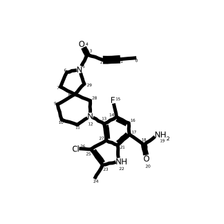 CC#CC(=O)N1CCC2(CCCN(c3c(F)cc(C(N)=O)c4[nH]c(C)c(Cl)c34)C2)C1